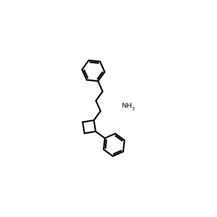 N.c1ccc(CCCC2CCC2c2ccccc2)cc1